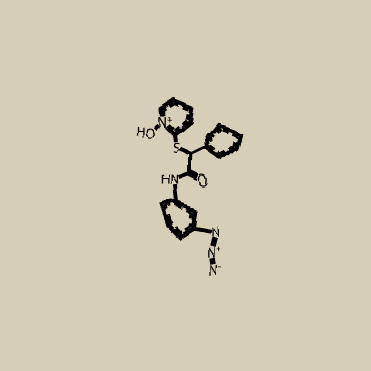 [N-]=[N+]=Nc1cccc(NC(=O)C(Sc2cccc[n+]2O)c2ccccc2)c1